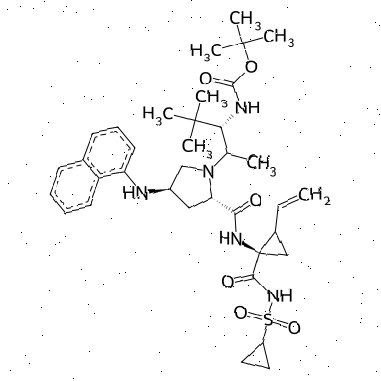 C=CC1C[C@]1(NC(=O)[C@@H]1C[C@@H](Nc2cccc3ccccc23)CN1C(C)[C@@H](NC(=O)OC(C)(C)C)C(C)(C)C)C(=O)NS(=O)(=O)C1CC1